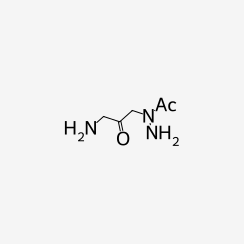 CC(=O)N(N)CC(=O)CN